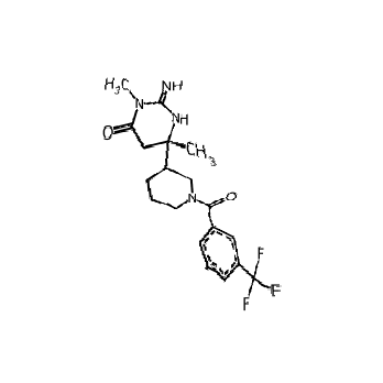 CN1C(=N)N[C@](C)(C2CCCN(C(=O)c3cccc(C(F)(F)F)c3)C2)CC1=O